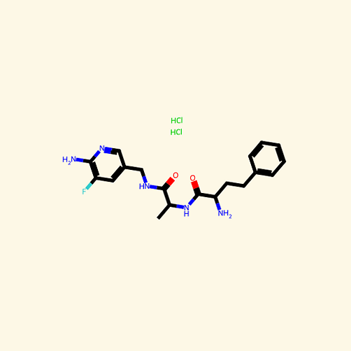 CC(NC(=O)C(N)CCc1ccccc1)C(=O)NCc1cnc(N)c(F)c1.Cl.Cl